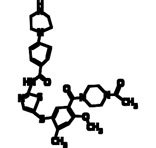 COc1cc(C)c(Sc2cnc(NC(=O)c3ccc(N4CCNCC4)cc3)s2)cc1C(=O)N1CCN(C(C)=O)CC1